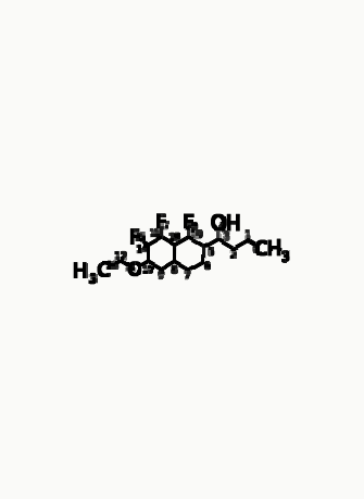 CCCC(O)C1CCC2CC(OCC)C(F)C(F)C2C1F